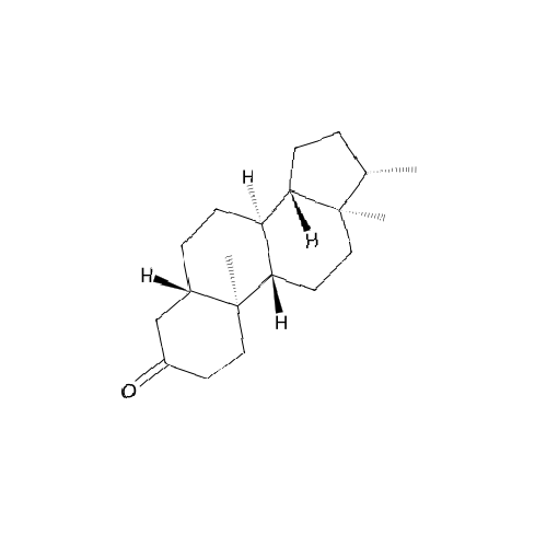 C[C@H]1CC[C@H]2[C@@H]3CC[C@H]4CC(=O)CC[C@]4(C)[C@H]3CC[C@]12C